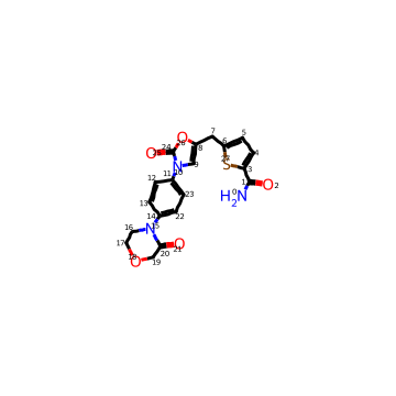 NC(=O)c1ccc(Cc2cn(-c3ccc(N4CCOCC4=O)cc3)c(=O)o2)s1